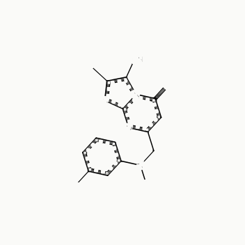 CCN(Cc1cc(=O)n2c(C#N)c(C)sc2n1)c1cccc(F)c1